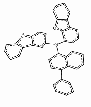 c1ccc(-c2ccc(N(c3ccc4sc5ccccc5c4c3)c3cccc4c3oc3ccccc34)c3ccccc23)cc1